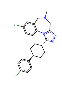 CN1Cc2cc(Cl)ccc2-n2c(nnc2[C@H]2CC[C@H](c3ccc(F)cc3)CC2)C1